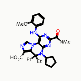 CCC1(CC)c2c(C(=O)O)ncn2-c2c(Nc3ccccc3OC)nc(C(=O)NC)nc2N1C1CCCC1